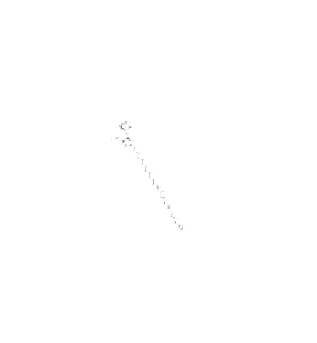 O=C(CSCCCCCCCCCCCOCCOCCOCCOCCO)N[C@@H](COP(=O)(O)O)C(=O)O